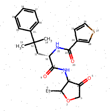 CCC1OCC(=O)C1NC(=O)[C@H](CC(C)(C)c1ccccc1)NC(=O)c1ccsc1